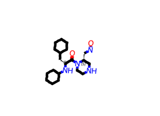 O=NC[C@@H]1CNCCN1C(=O)[C@@H](CC1CCCCC1)NC1CCCCC1